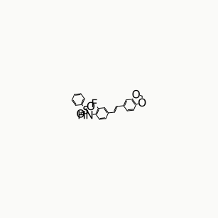 O=S(=O)(Nc1ccc(/C=C/c2ccc3c(c2)OCO3)cc1F)c1ccccc1